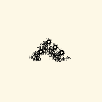 O=P([O-])([O-])C(O)P(=O)([O-])Oc1ccccc1.O=P([O-])([O-])C(O)P(=O)([O-])Oc1ccccc1.O=P([O-])([O-])C(O)P(=O)([O-])Oc1ccccc1.O=P([O-])([O-])C(O)P(=O)([O-])Oc1ccccc1.[Pt+4].[Pt+4].[Pt+4]